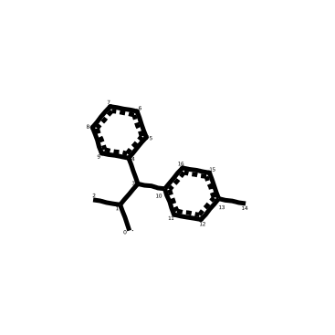 [CH2]C(C)C(c1ccccc1)c1ccc(C)cc1